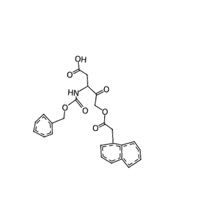 O=C(O)CC(NC(=O)OCc1ccccc1)C(=O)COC(=O)Cc1cccc2ccccc12